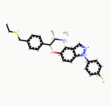 CCSCc1ccc([C@@H](Oc2ccc3c(cnn3-c3ccc(F)cc3)c2)[C@H](C)N)cc1.Cl